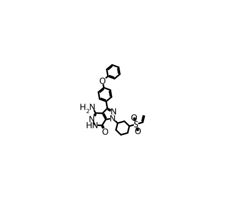 C=CS(=O)(=O)C1CCCC(n2nc(-c3ccc(Oc4ccccc4)cc3)c3c(N)n[nH]c(=O)c32)C1